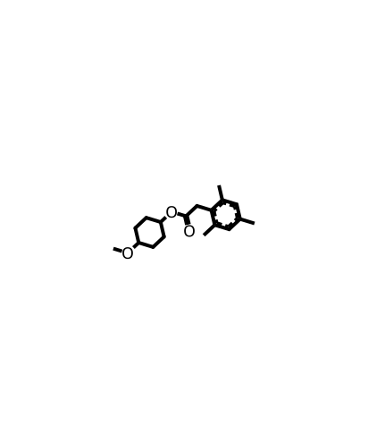 COC1CCC(OC(=O)Cc2c(C)cc(C)cc2C)CC1